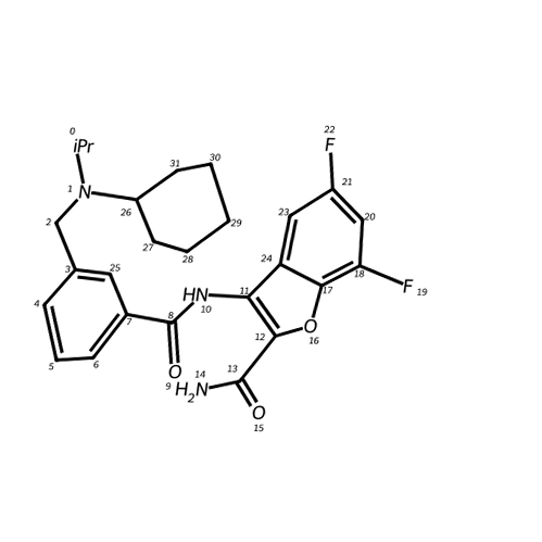 CC(C)N(Cc1cccc(C(=O)Nc2c(C(N)=O)oc3c(F)cc(F)cc23)c1)C1CCCCC1